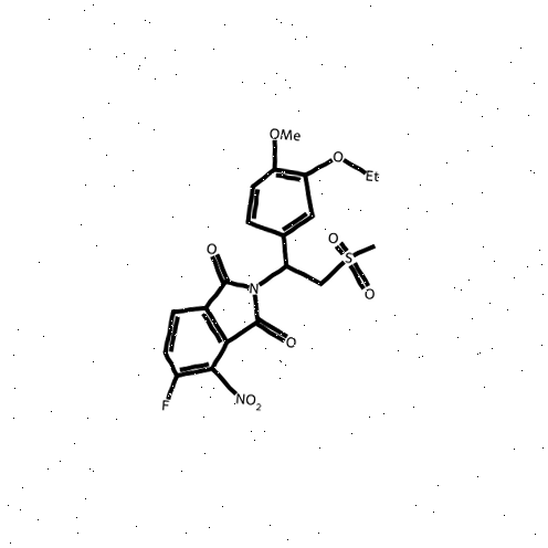 CCOc1cc(C(CS(C)(=O)=O)N2C(=O)c3ccc(F)c([N+](=O)[O-])c3C2=O)ccc1OC